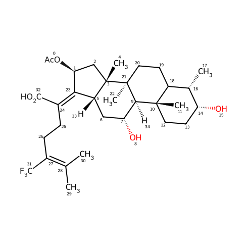 CC(=O)O[C@H]1C[C@@]2(C)[C@H](C[C@@H](O)[C@@H]3[C@@]4(C)CC[C@@H](O)[C@@H](C)C4CC[C@@]32C)C1=C(CCC(=C(C)C)C(F)(F)F)C(=O)O